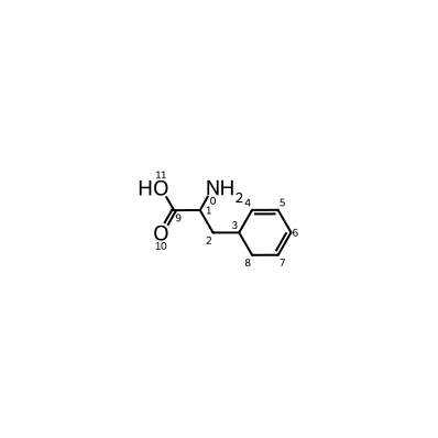 NC(CC1C=CC=CC1)C(=O)O